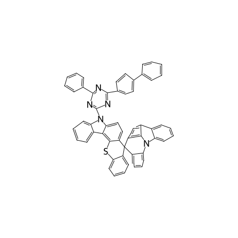 c1ccc(-c2ccc(-c3nc(-c4ccccc4)nc(-n4c5ccccc5c5c6c(ccc54)C4(c5ccccc5S6)c5ccccc5-n5c6ccccc6c6cccc4c65)n3)cc2)cc1